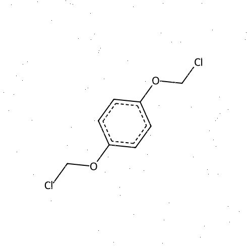 ClCOc1ccc(OCCl)cc1